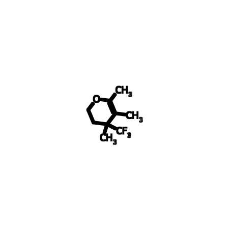 CC1=C(C)C(C)(C(F)(F)F)CCO1